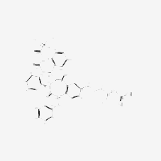 N=C(N)NC(S)CCCc1ccc2c(c1)C(=O)N(C(CC(=O)OC(=O)C(F)(F)F)c1ccccc1)C(c1ccccc1)C(=O)N2Cc1ccccc1